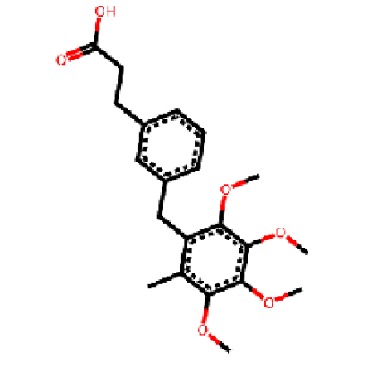 COc1c(C)c(Cc2cccc(CCC(=O)O)c2)c(OC)c(OC)c1OC